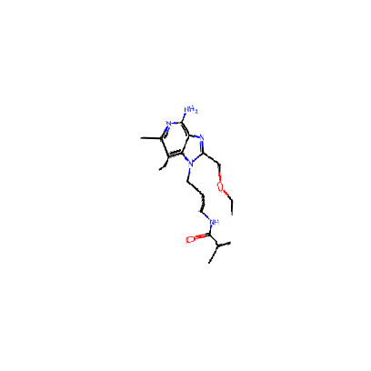 CCOCc1nc2c(N)nc(C)c(C)c2n1CCCNC(=O)C(C)C